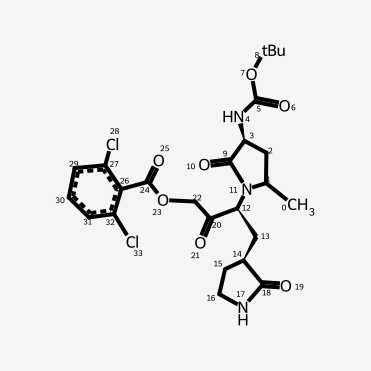 CC1C[C@H](NC(=O)OC(C)(C)C)C(=O)N1[C@@H](C[C@@H]1CCNC1=O)C(=O)COC(=O)c1c(Cl)cccc1Cl